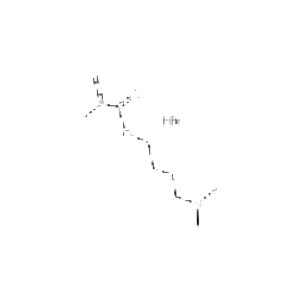 Br.C=C(C)C(=O)OCCCCN(C)C